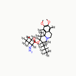 [2H]c1c2c(c([2H])c(OC)c1OC)C1([2H])N(CC2)C([2H])([2H])C([2H])(C([2H])([2H])C([2H])(C)C([2H])([2H])[2H])C([2H])(OC(=O)[C@@]([2H])(N)C([2H])(C([2H])([2H])[2H])C([2H])([2H])[2H])C1([2H])[2H]